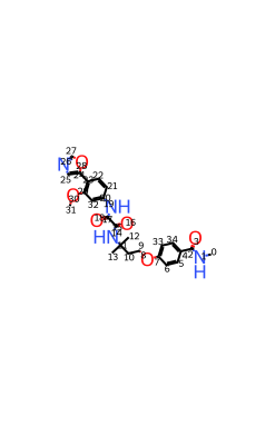 CNC(=O)c1ccc(OCCC(C)(C)NC(=O)C(=O)Nc2ccc(-c3cnco3)c(OC)c2)cc1